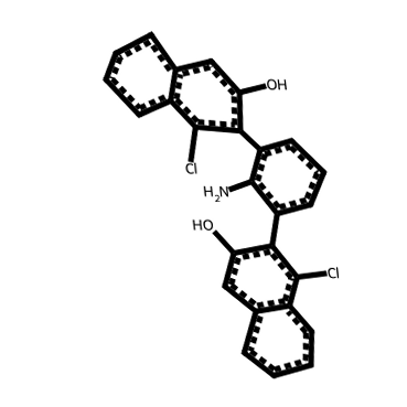 Nc1c(-c2c(O)cc3ccccc3c2Cl)cccc1-c1c(O)cc2ccccc2c1Cl